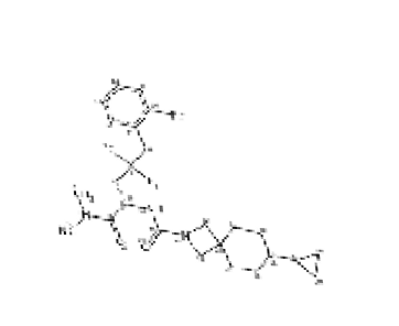 CN(C#N)C(=O)[C@H](CC(F)(F)Cc1ccccc1F)NC(=O)N1CC2(CCN(C3CC3)CC2)C1